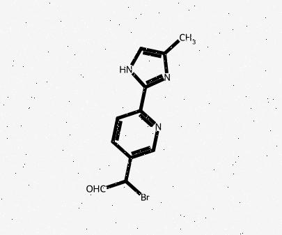 Cc1c[nH]c(-c2ccc(C(Br)C=O)cn2)n1